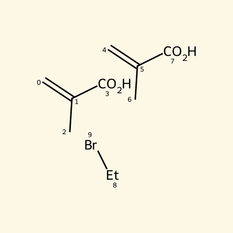 C=C(C)C(=O)O.C=C(C)C(=O)O.CCBr